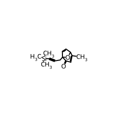 CC1=CC(=O)C2(CC#C[Si](C)(C)C)C=CC1O2